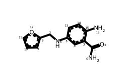 NC(=O)c1cc(NCc2ccco2)ccc1N